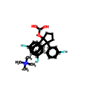 C[N+](C)(C)C.OB(O)OC1(c2cccc(F)c2)CCCC1(c1cccc(F)c1)c1cccc(F)c1